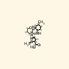 Cc1ccc2c(c1)[C@@H]1OCCC[C@@H]1[C@@H](c1cc(C(=O)O)n(C)n1)N2